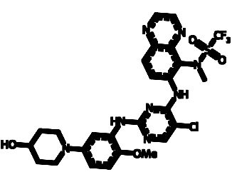 COc1ccc(N2CCC(O)CC2)cc1Nc1ncc(Cl)c(Nc2ccc3nccnc3c2N(C)S(=O)(=O)C(F)(F)F)n1